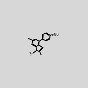 CCCCc1ccc(-c2cc(C)cc3c2C=C(C)[CH]3[Zr])cc1